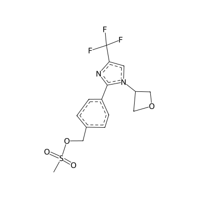 CS(=O)(=O)OCc1ccc(-c2nc(C(F)(F)F)cn2C2COC2)cc1